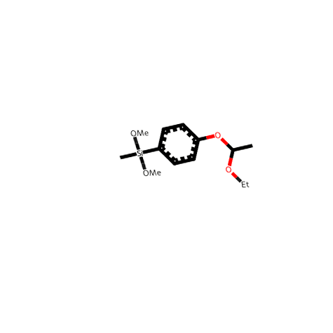 CCOC(C)Oc1ccc([Si](C)(OC)OC)cc1